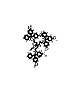 [CH2]CCN(C)C(CCCOC(c1ccccc1)(c1ccc(OC)cc1)c1ccc(OC)cc1)(CCCOC(c1ccccc1)(c1ccc(OC)cc1)c1ccc(OC)cc1)CCCOC(c1ccccc1)(c1ccc(OC)cc1)c1ccc(OC)cc1